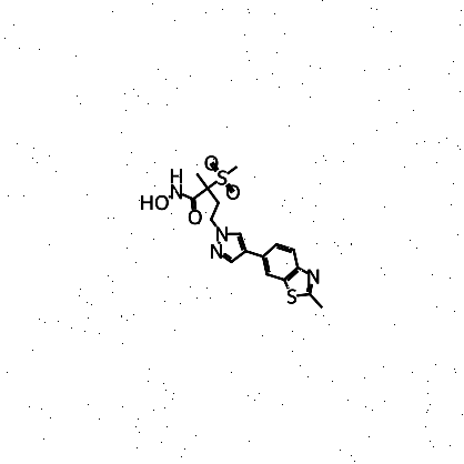 Cc1nc2ccc(-c3cnn(CCC(C)(C(=O)NO)S(C)(=O)=O)c3)cc2s1